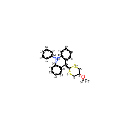 CCCOC1CSC(=C2c3ccccc3N(c3ccccc3)c3ccccc32)SC1